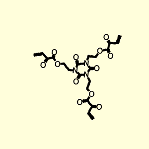 C=CC(=O)C(=O)OCCn1c(=O)n(CCOC(=O)C(=O)C=C)c(=O)n(CCOC(=O)C(=O)C=C)c1=O